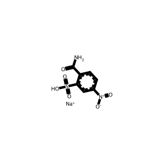 NC(=O)c1ccc([N+](=O)[O-])cc1S(=O)(=O)O.[Na+]